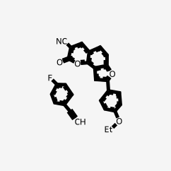 C#Cc1ccc(F)cc1.CCOc1ccc(-c2cc3c(ccc4cc(C#N)c(=O)oc43)o2)cc1